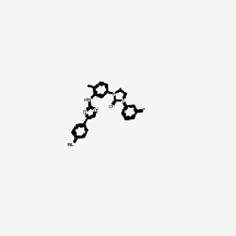 Cc1ccc(N2CCN(c3cccc(F)c3)C2=O)cc1Nc1ncc(-c2ccc(C#N)cc2)o1